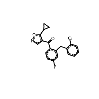 O=C(c1ccc(F)cc1Cc1ccccc1Cl)c1cnoc1C1CC1